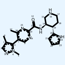 Cc1cnn(C)c1-c1cnc(C(=O)N[C@H]2CNCC[C@@H]2c2ccc[nH]2)nc1C